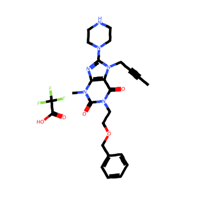 CC#CCn1c(N2CCNCC2)nc2c1c(=O)n(CCOCc1ccccc1)c(=O)n2C.O=C(O)C(F)(F)F